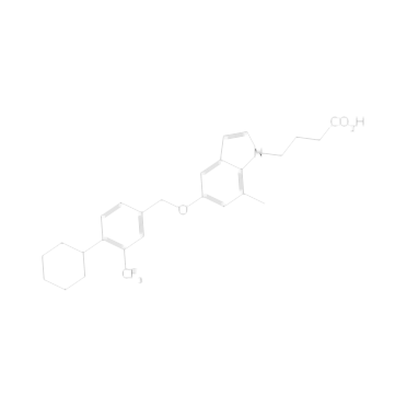 Cc1cc(OCc2ccc(C3CCCCC3)c(C(F)(F)F)c2)cc2ccn(CCCC(=O)O)c12